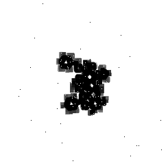 Cc1cc(F)c2c(c1OCc1ccccc1)C(=O)C1=C(O)[C@]3(O)C(=O)c4c(OCc5ccccc5)noc4[C@@H](N4CCC4)[C@@H]3C[C@@H]1C2